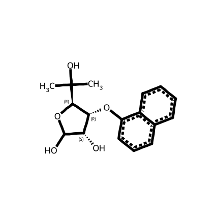 CC(C)(O)[C@@H]1OC(O)[C@@H](O)[C@H]1Oc1cccc2ccccc12